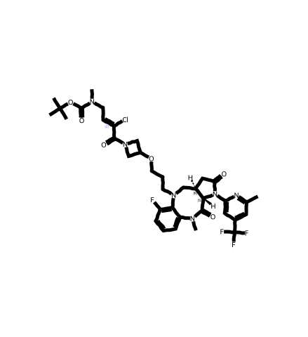 Cc1cc(C(F)(F)F)cc(N2C(=O)C[C@@H]3CN(CCCOC4CN(C(=O)/C(Cl)=C/CN(C)C(=O)OC(C)(C)C)C4)c4c(F)cccc4N(C)C(=O)[C@H]32)n1